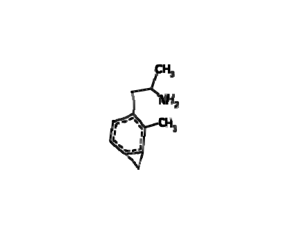 Cc1c(CC(C)N)ccc2c1C2